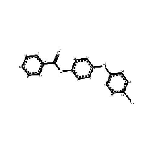 O=C(Oc1ccc(Oc2ccc(I)cc2)cc1)c1ccccc1